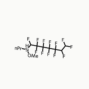 CCC[SiH](OC)C(F)C(F)(F)C(F)(F)C(F)(F)C(F)(F)C(F)C(F)F